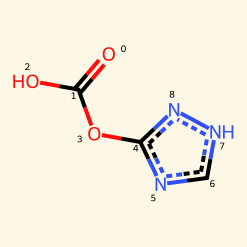 O=C(O)Oc1nc[nH]n1